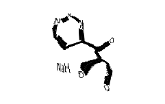 O=CC(=O)C(=O)c1ccnnn1.[NaH]